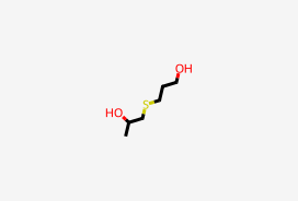 CC(O)CSCCCO